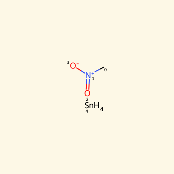 C[N+](=O)[O-].[SnH4]